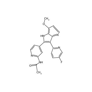 COc1ccnc2c(-c3ccc(F)cn3)c(-c3ccnc(NC(C)=O)c3)[nH]c12